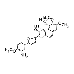 COc1ccc(C(=O)/C=C\Nc2cc(/C=C\c3cc(OC)c(OC)c(OC)c3)ccc2OC)cc1N